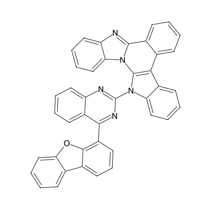 c1ccc2c(-c3cccc4c3oc3ccccc34)nc(-n3c4ccccc4c4c5ccccc5c5nc6ccccc6n5c43)nc2c1